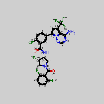 Nc1ncnn2c(-c3ccc(Cl)c(C(=O)N[C@@H]4CN(C(=O)c5c(F)cccc5F)C[C@@H]4F)c3)cc(C(F)(F)F)c12